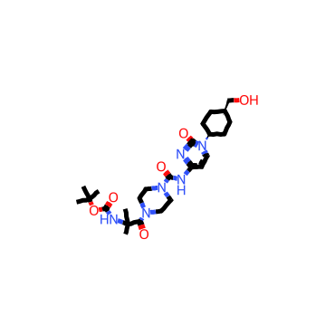 CC(C)(C)OC(=O)NC(C)(C)C(=O)N1CCN(C(=O)Nc2ccn([C@H]3CC[C@H](CO)CC3)c(=O)n2)CC1